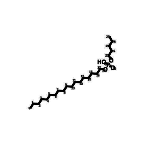 CCCCCCCCCCCCCCCCCCOP(=O)(O)OCCCCC